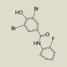 O=C(Nc1ccccc1F)c1cc(Br)c(O)c(Br)c1